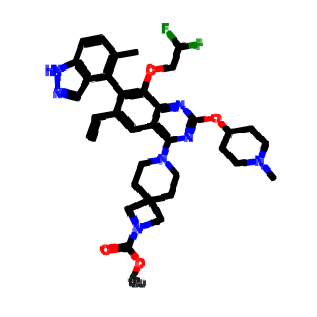 C=Cc1cc2c(N3CCC4(CC3)CN(C(=O)OC(C)(C)C)C4)nc(OC3CCN(C)CC3)nc2c(OCC(F)F)c1-c1c(C)ccc2[nH]ncc12